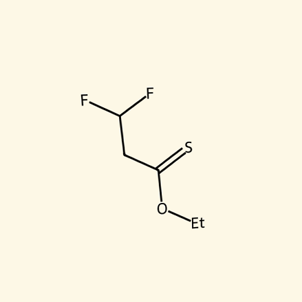 CCOC(=S)CC(F)F